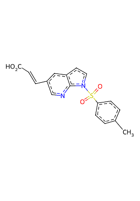 Cc1ccc(S(=O)(=O)n2ccc3cc(C=CC(=O)O)cnc32)cc1